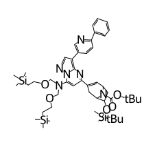 CC(C)(C)OC(=O)N1C2C=C(c3cc(N(COCC[Si](C)(C)C)COCC[Si](C)(C)C)n4ncc(-c5ccc(-c6ccccc6)nc5)c4n3)CC1C(O[Si](C)(C)C(C)(C)C)C2